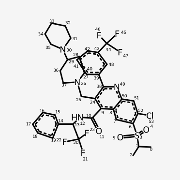 CC(C)S(=O)(=O)c1cc2c(C(=O)NC(c3ccccc3)C(F)(F)F)c(CN3CCC(N4CCCCC4)CC3)c(-c3cccc(C(F)(F)F)c3)nc2cc1Cl